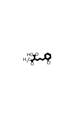 CC(=O)C(CCCc1ccccc1Cl)C(=O)O